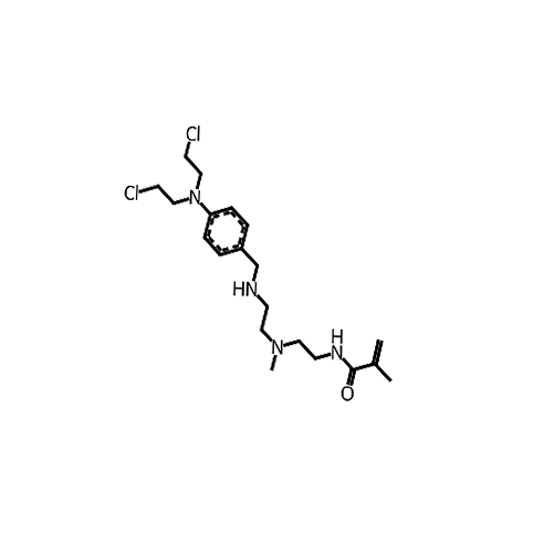 C=C(C)C(=O)NCCN(C)CCNCc1ccc(N(CCCl)CCCl)cc1